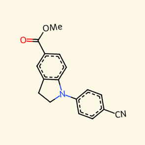 COC(=O)c1ccc2c(c1)CCN2c1ccc(C#N)cc1